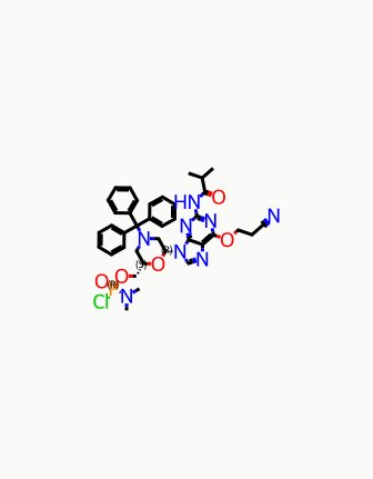 CC(C)C(=O)Nc1nc(OCCC#N)c2ncn([C@H]3CN(C(c4ccccc4)(c4ccccc4)c4ccccc4)C[C@@H](CO[P@@](=O)(Cl)N(C)C)O3)c2n1